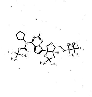 CC(C)(C)OC(=O)N(c1nc(Cl)nn2c([C@@]34CO[C@H](CO[Si](C)(C)C(C)(C)C)[C@H]3OC(C)(C)O4)ccc12)C1CCCC1